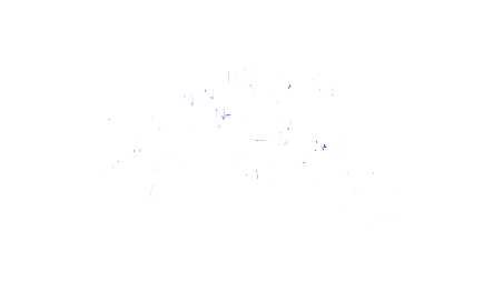 CO[C@@H]1[C@@H](n2cc(-c3cc(F)c(F)c(F)c3)nn2)[C@@H](O)[C@@H](CO)O[C@@H]1CC1=NOC(C2CCCCC2)C1